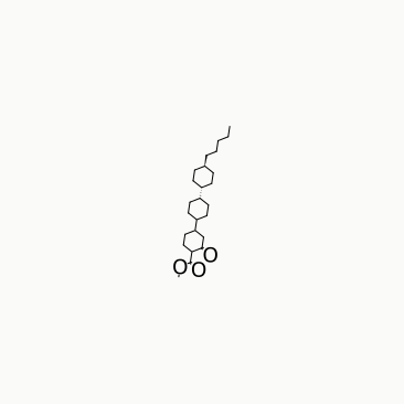 CCCCC[C@H]1CC[C@H](C2CCC(C3CCC(C(=O)OC)C(=O)C3)CC2)CC1